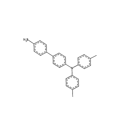 Bc1ccc(-c2ccc(N(c3ccc(C)cc3)c3ccc(C)cc3)cc2)cc1